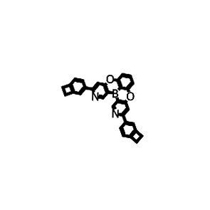 c1cc2c3c(c1)Oc1cc(-c4ccc5c(c4)CC5)ncc1B3c1cnc(-c3ccc4c(c3)CC4)cc1O2